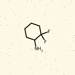 N[C]1CCCCC1(F)F